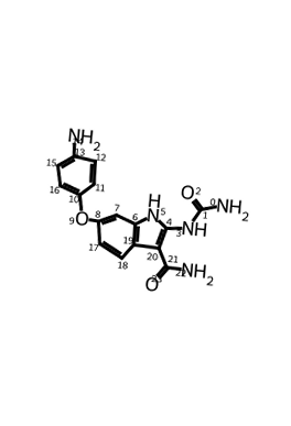 NC(=O)Nc1[nH]c2cc(Oc3ccc(N)cc3)ccc2c1C(N)=O